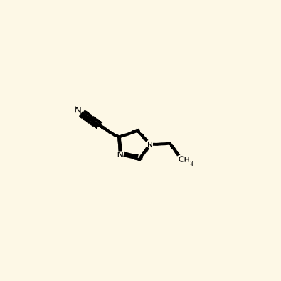 CCN1[C]C(C#N)N=[C]1